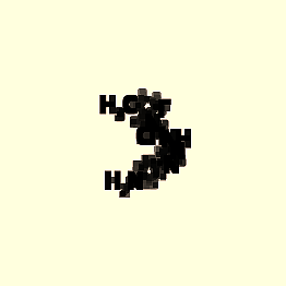 Cc1ccc(F)c2c1cc(C)n2CCNc1cc(-c2ccc(N)cc2)ncn1